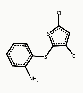 Nc1ccccc1Sc1sc(Cl)cc1Cl